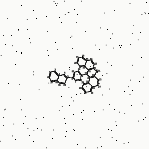 c1ccc2cc(-c3ccc(C4c5c(ccc6ccccc56)Sc5ccc6ccccc6c54)cc3)ccc2c1